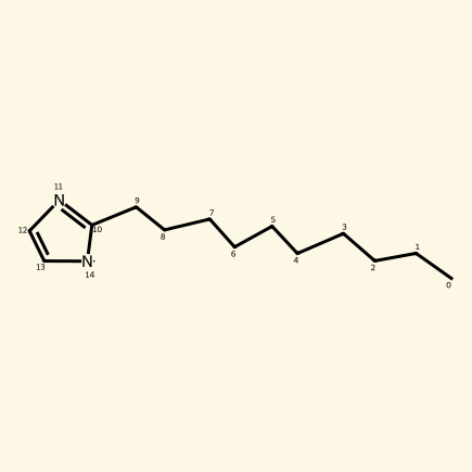 CCCCCCCCCCC1=NC=C[N]1